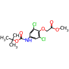 COC(=O)COc1c(Cl)cc(NC(=O)OC(C)(C)C)cc1Cl